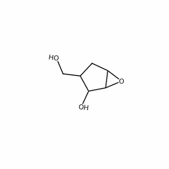 OCC1CC2OC2C1O